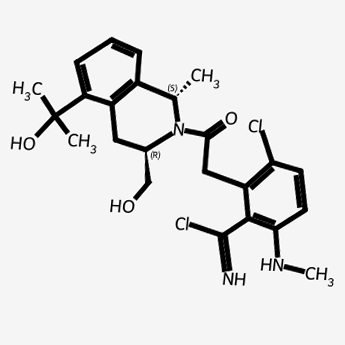 CNc1ccc(Cl)c(CC(=O)N2[C@@H](CO)Cc3c(cccc3C(C)(C)O)[C@@H]2C)c1C(=N)Cl